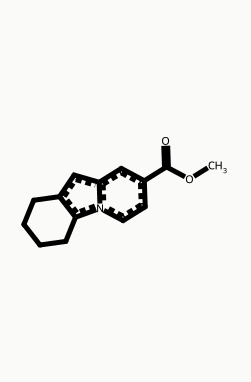 COC(=O)c1ccn2c3c(cc2c1)CCCC3